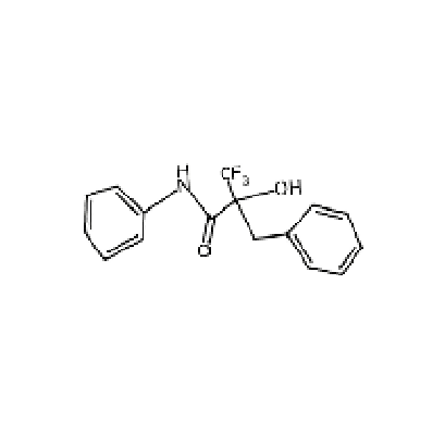 O=C(Nc1ccccc1)C(O)(Cc1ccccc1)C(F)(F)F